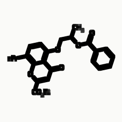 CCCc1ccc(OCC(C)OC(=O)c2ccccc2)c2c(=O)cc(C(=O)OCC)oc12